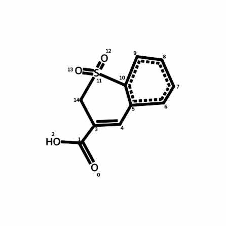 O=C(O)C1=Cc2ccccc2S(=O)(=O)C1